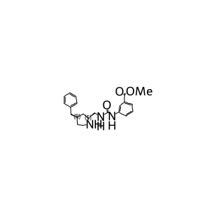 COC(=O)c1cccc(NC(=O)NC[C@@H]2C[C@H](Cc3ccccc3)CCN2)c1